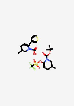 CC1CC=C(OS(=O)(=O)C(F)(F)F)N(C(=O)OC(C)(C)C)C1.CC1CC=C(c2ccsc2)N(C(=O)O)C1